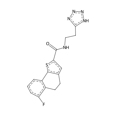 O=C(NCCc1nnn[nH]1)c1cc2c(s1)-c1cccc(F)c1CC2